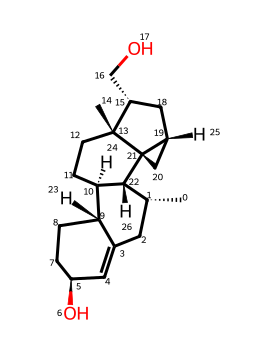 C[C@@H]1CC2=C[C@@H](O)CC[C@@H]2[C@H]2CC[C@]3(C)[C@H](CO)C[C@@H]4C[C@]43[C@@H]21